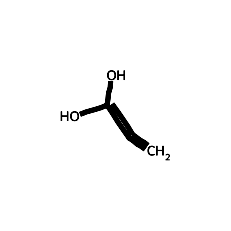 C=C=C(O)O